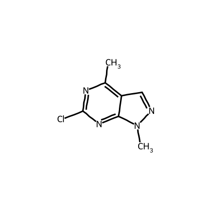 Cc1nc(Cl)nc2c1cnn2C